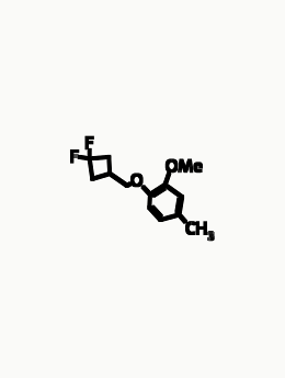 COc1cc(C)ccc1OCC1CC(F)(F)C1